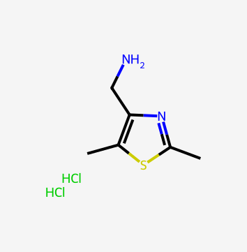 Cc1nc(CN)c(C)s1.Cl.Cl